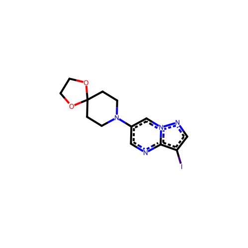 Ic1cnn2cc(N3CCC4(CC3)OCCO4)cnc12